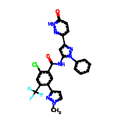 Cn1ccc(-c2cc(C(=O)Nc3cc(-c4ccc(=O)[nH]n4)nn3-c3ccccc3)c(Cl)cc2C(F)(F)F)n1